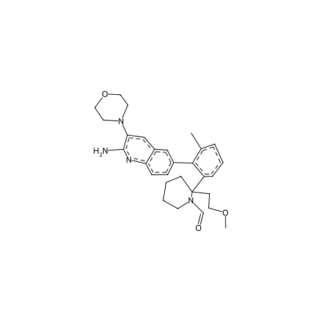 COCCC1(c2cccc(C)c2-c2ccc3nc(N)c(N4CCOCC4)cc3c2)CCCCN1C=O